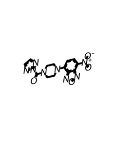 O=C(N1CCN(c2ccc([N+](=O)[O-])c3nonc23)CC1)n1nccn1